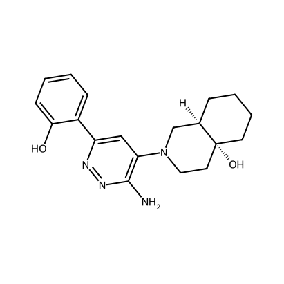 Nc1nnc(-c2ccccc2O)cc1N1CC[C@]2(O)CCCC[C@@H]2C1